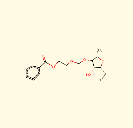 [2H]C[C@H]1O[C@@H](B)C(OCOCCOC(=O)c2ccccc2)[C@H]1O